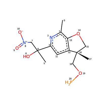 Cc1nc(C(C)(O)C[N+](=O)[O-])cc2c1OC[C@]2(C)COP